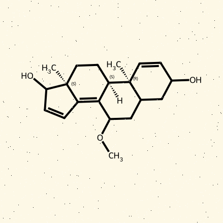 COC1CC2CC(O)C=C[C@]2(C)[C@@H]2CC[C@@]3(C)C(=C12)C=CC3O